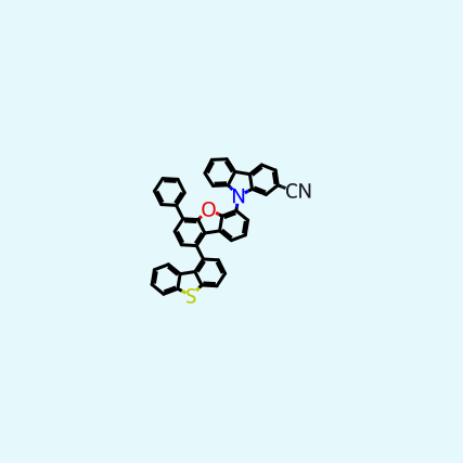 N#Cc1ccc2c3ccccc3n(-c3cccc4c3oc3c(-c5ccccc5)ccc(-c5cccc6sc7ccccc7c56)c34)c2c1